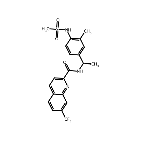 Cc1cc([C@@H](C)NC(=O)c2ccc3ccc(C(F)(F)F)cc3n2)ccc1NS(C)(=O)=O